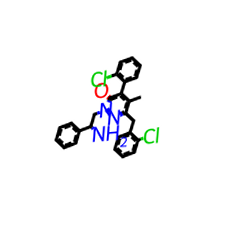 Cc1c(Cc2ccccc2Cl)nn(CC(N)c2ccccc2)c(=O)c1-c1ccccc1Cl